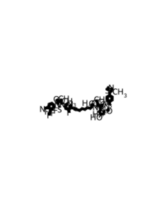 Cc1ncsc1-c1ccc(CNC(=O)[C@@H]2C[C@@H](O)CN2C(=O)[C@@H](NC(=O)CCCCCC#Cc2ncc(N3C(=S)N(c4ccc(C#N)c(C(F)(F)F)c4F)C(=O)C3(C)C)cc2F)C(C)(C)C)cc1